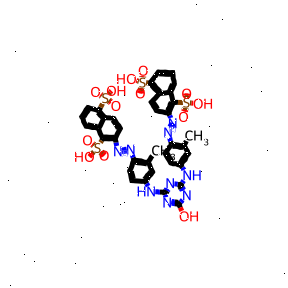 Cc1cc(Nc2nc(O)nc(Nc3ccc(/N=N/c4ccc5c(S(=O)(=O)O)cccc5c4S(=O)(=O)O)c(C)c3)n2)ccc1/N=N/c1ccc2c(S(=O)(=O)O)cccc2c1S(=O)(=O)O